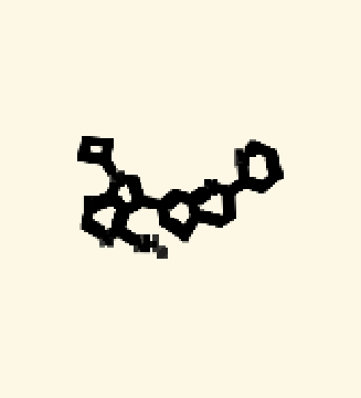 Nc1ncnc2c1c(-c1ccc3ccc(-c4ccccn4)nc3c1)cn2C1CCC1